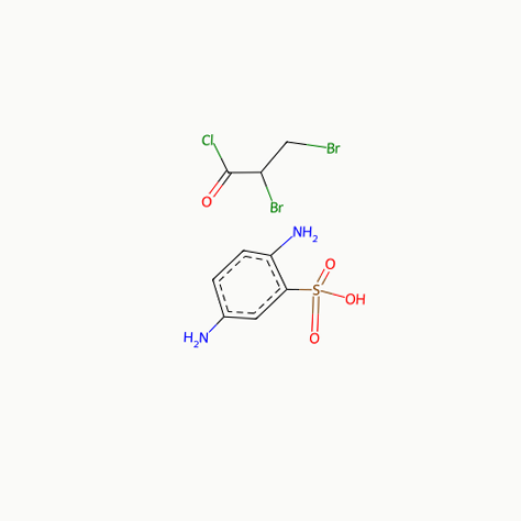 Nc1ccc(N)c(S(=O)(=O)O)c1.O=C(Cl)C(Br)CBr